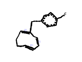 Fc1ccc(CC2=C/CC/C=C/C=C\2)cc1